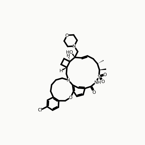 C[C@@H]1[C@@H](C)C/C=C/[C@@](O)(CN2CCOCC2)[C@@H]2CC[C@H]2CN2CCCCc3cc(Cl)ccc3COc3ccc(cc32)C(=O)NS1(=O)=O